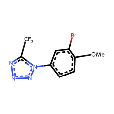 COc1ccc(-n2nnnc2C(F)(F)F)cc1Br